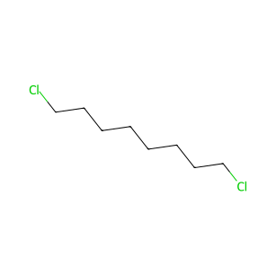 ClCCCCCCCCCl